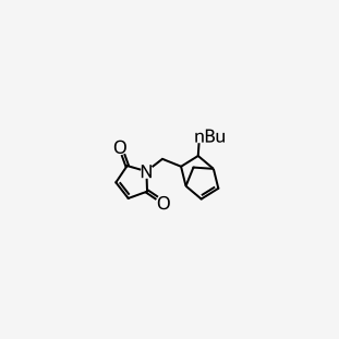 CCCCC1C2C=CC(C2)C1CN1C(=O)C=CC1=O